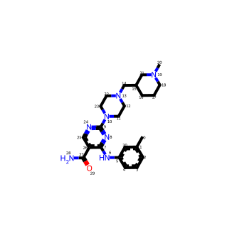 Cc1cccc(Nc2nc(N3CCN(CC4CCCN(C)C4)CC3)ncc2C(N)=O)c1